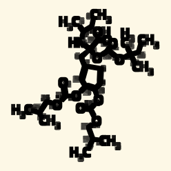 CCC(C)N[C@@](Cc1ccc(OC(=O)OCC(C)C)c(OC(=O)OCC(C)C)c1)(OC(=O)OC(C)(C)CC)C(=O)O